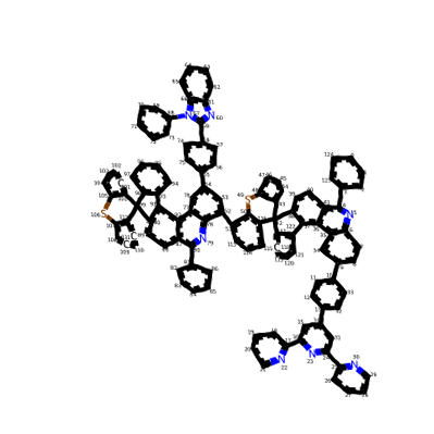 c1ccc(-c2nc3ccc(-c4ccc(-c5cc(-c6ccccn6)nc(-c6ccccn6)c5)cc4)cc3c3c4c(ccc23)C2(c3ccccc3Sc3c(-c5cc(-c6ccc(-c7nc8ccccc8n7-c7ccccc7)cc6)cc6c5nc(-c5ccccc5)c5ccc7c(c56)-c5ccccc5C75c6ccccc6Sc6ccccc65)cccc32)c2ccccc2-4)cc1